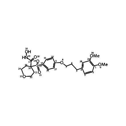 COc1ccc(CCCOc2ccc(S(=O)(=O)C3(C(=O)NO)CCOCC3)cc2)cc1OC